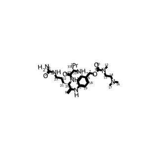 C=C(Nc1ccc(COC(=O)N(C)CCN(C)C)cc1)[C@H](CCCNC(N)=O)NC(=O)[C@@H](N)C(C)C